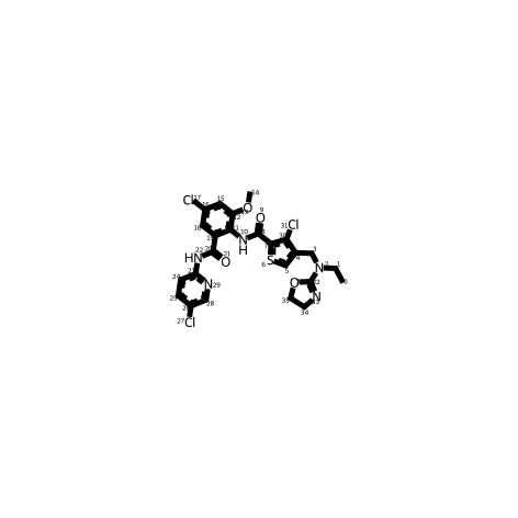 CCN(Cc1csc(C(=O)Nc2c(OC)cc(Cl)cc2C(=O)Nc2ccc(Cl)cn2)c1Cl)C1=NCCO1